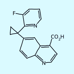 O=C(O)c1ccnc2ccc(C3(c4ncccc4F)CC3)cc12